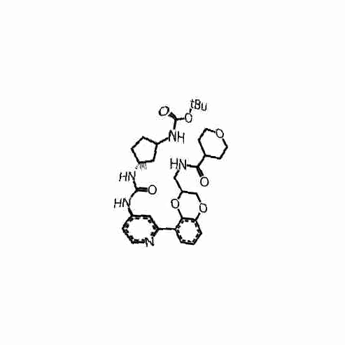 CC(C)(C)OC(=O)NC1CC[C@@H](NC(=O)Nc2ccnc(-c3cccc4c3OC(CNC(=O)C3CCOCC3)CO4)c2)C1